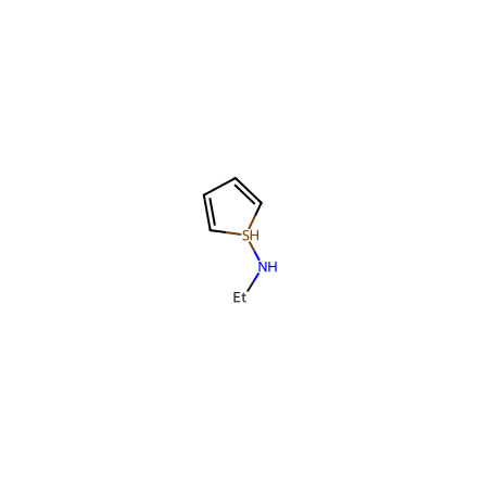 CCN[SH]1C=CC=C1